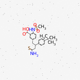 CC(C)(C)c1ccc(C(CC(N)=S)Cc2ccc(NS(C)(=O)=O)c(C(=O)O)c2)cc1